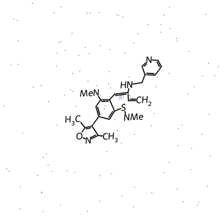 C=C/C(=C\c1c(NC)cc(-c2c(C)noc2C)cc1SNC)NCc1cccnc1